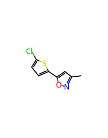 Cc1cc(-c2ccc(Cl)s2)on1